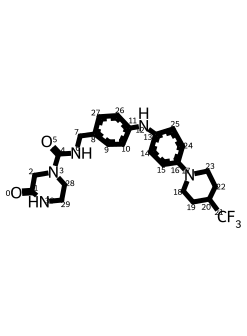 O=C1CN(C(=O)NCc2ccc(Nc3ccc(N4CCC(C(F)(F)F)CC4)cc3)cc2)CCN1